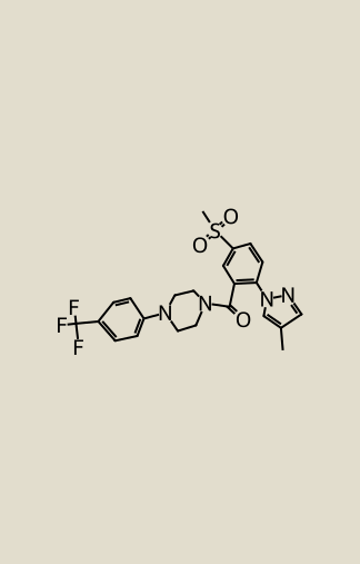 Cc1cnn(-c2ccc(S(C)(=O)=O)cc2C(=O)N2CCN(c3ccc(C(F)(F)F)cc3)CC2)c1